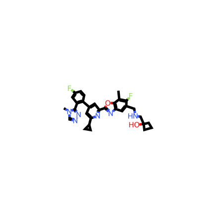 Cc1c(F)c(CNCC2(O)CCC2)cc2nc(-c3cc(-c4ccc(F)cc4-c4nncn4C)cc(C4CC4)n3)oc12